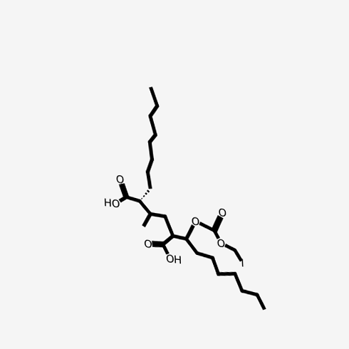 CCCCCCCC[C@@H](C(=O)O)C(C)CC(C(=O)O)C(CCCCCCC)OC(=O)OCI